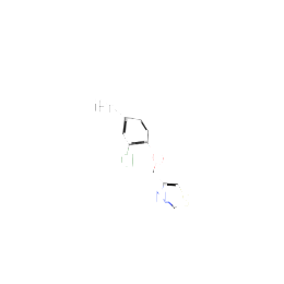 CC(C)c1ccc(OCc2cscn2)c(Cl)c1